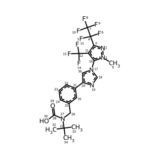 Cn1nc(C(F)(F)C(F)(F)F)c(C(F)(F)F)c1-n1cnc(-c2cccc(CN(C(=O)O)C(C)(C)C)c2)c1